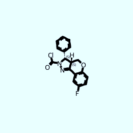 O=C(Cl)N1N=C2c3cc(F)ccc3OC[C@H]2[C@H]1c1ccccc1